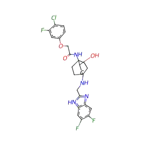 O=C(COc1ccc(Cl)c(F)c1)NC12CCC(NCc3nc4cc(F)c(F)cc4[nH]3)(CC1)CC2O